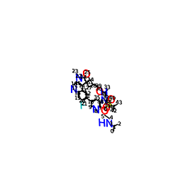 CC(C)NCCOc1ncc(-c2cc3c4c(cnc3cc2F)N(C)C(=O)C42CC(COC(C)C)C2)cc1NS(=O)(=O)C(C)C